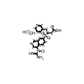 Cl.Cl.N=C(N)N(Cl)c1cncc2cc(S(=O)(=O)N(CC(=O)O)Cc3cccnc3)ccc12